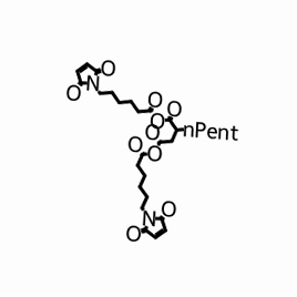 CCCCCC(CC(=O)OC(=O)CCCCCN1C(=O)C=CC1=O)C(=O)OC(=O)CCCCCN1C(=O)C=CC1=O